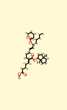 CCCCC[C@@H](C=C[C@@H]1CC/C(=C\CCCC(=O)OC)[C@H](O[C@H]2CC[C@@H]3CCC[C@@H]32)O1)OC1CCCCO1